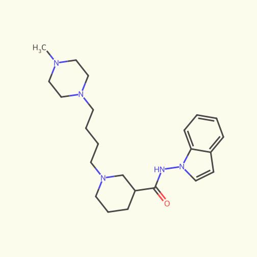 CN1CCN(CCCCN2CCCC(C(=O)Nn3ccc4ccccc43)C2)CC1